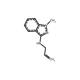 C=CCNc1nn(C)c2ccccc12